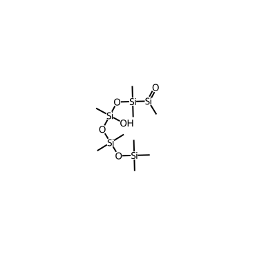 C[Si](=O)[Si](C)(C)O[Si](C)(O)O[Si](C)(C)O[Si](C)(C)C